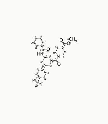 COC(=O)C1CCN(C(=O)N2CC(NC(=O)c3ccccc3)CC(c3ccc(C(F)(F)F)cc3)C2)CC1